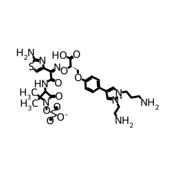 CC1(C)C(NC(=O)/C(=N\O[C@@H](COc2ccc(-c3cn(CCCN)[n+](CCN)c3)cc2)C(=O)O)c2csc(N)n2)C(=O)N1OS(=O)(=O)[O-]